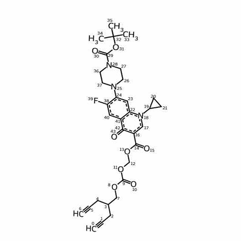 C#CCC(CC#C)COC(=O)OCOC(=O)c1cn(C2CC2)c2cc(N3CCN(C(=O)OC(C)(C)C)CC3)c(F)cc2c1=O